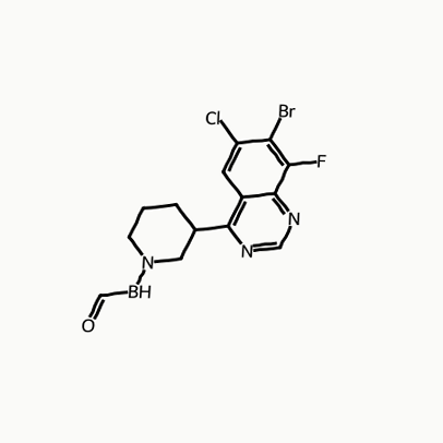 O=CBN1CCCC(c2ncnc3c(F)c(Br)c(Cl)cc23)C1